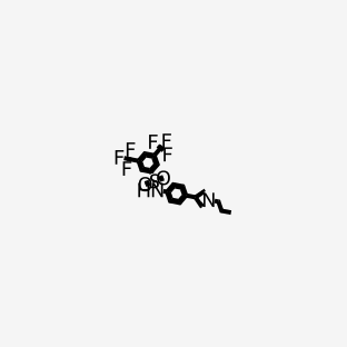 CCCN1CC(c2ccc(NS(=O)(=O)c3cc(C(F)(F)F)cc(C(F)(F)F)c3)cc2)C1